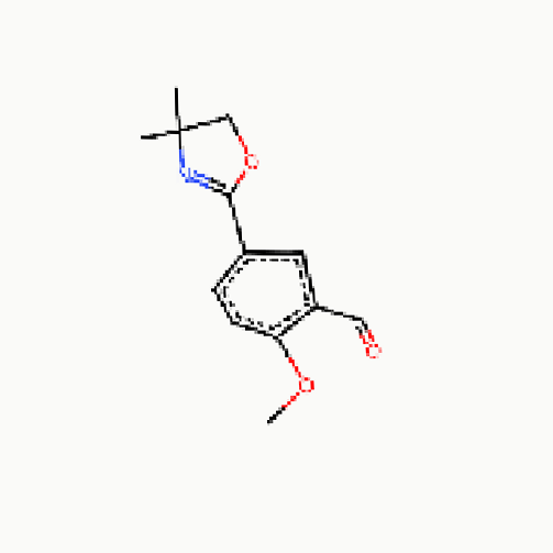 COc1ccc(C2=NC(C)(C)CO2)cc1C=O